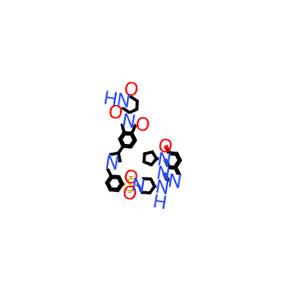 O=C1CCC(N2Cc3cc(C4CN(Cc5cccc(S(=O)(=O)N6CCC(Nc7ncc8ccc(=O)n(C9CCCC9)c8n7)CC6)c5)C4)ccc3C2=O)C(=O)N1